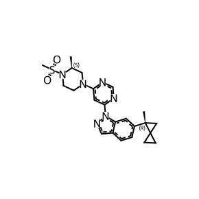 C[C@H]1CN(c2cc(-n3ncc4ccc([C@]5(C)CC56CC6)cc43)ncn2)CCN1S(C)(=O)=O